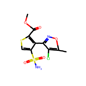 COC(=O)c1scc(S(N)(=O)=O)c1-c1noc(C)c1Cl